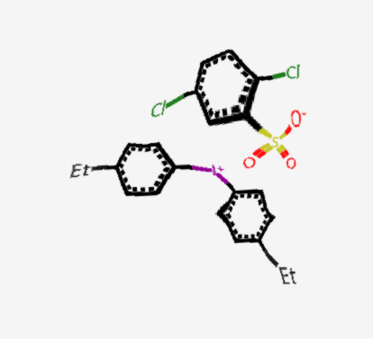 CCc1ccc([I+]c2ccc(CC)cc2)cc1.O=S(=O)([O-])c1cc(Cl)ccc1Cl